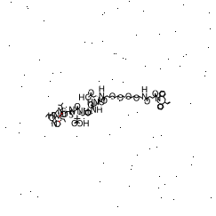 C=CC1Cc2ccccc2N(C(=O)CCC(=O)NCCOCCOCCOCCOCCC(=O)N[C@@H](CCC(=O)O)C(=O)NCC(=O)Nc2ccc(C[C@@H](CC(C)(C)C(=O)O)NC(=O)c3csc([C@@H](C[C@H](C(C)C)N(CCCCCC)C(=O)[C@@H](NC(=O)[C@H]4CCCCN4C)[C@@H](C)CC)OCC)n3)cc2)Cc2ccccc21